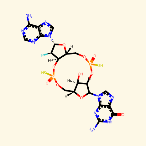 Nc1nc2c(ncn2C2O[C@@H]3COP(=O)(S)O[C@H]4[C@@H](F)[C@H](n5cnc6c(N)ncnc65)O[C@@H]4COP(=O)(S)O[C@@H]2[C@@H]3O)c(=O)[nH]1